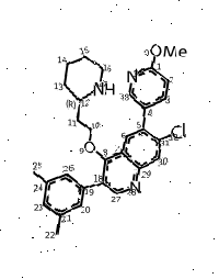 COc1ccc(-c2cc3c(OCC[C@H]4CCCCN4)c(-c4cc(C)cc(C)c4)cnc3cc2Cl)cn1